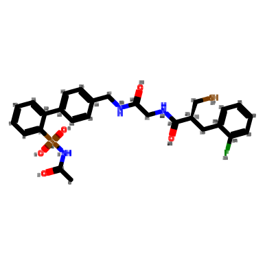 CC(=O)NS(=O)(=O)c1ccccc1-c1ccc(CNC(=O)CNC(=O)[C@@H](CS)Cc2ccccc2F)cc1